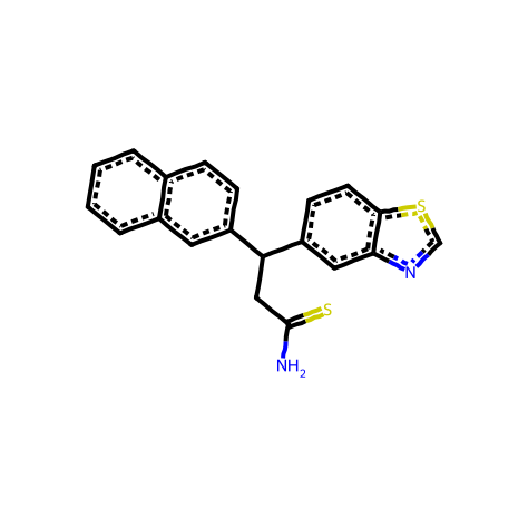 NC(=S)CC(c1ccc2ccccc2c1)c1ccc2scnc2c1